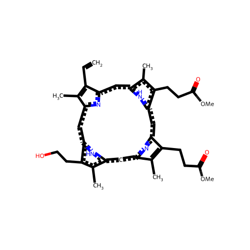 C=CC1=C(C)c2cc3[nH]c(cc4nc(cc5[nH]c(cc1n2)c(C)c5CCC(=O)OC)C(CCC(=O)OC)=C4C)c(C)c3CCO